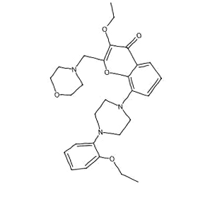 CCOc1ccccc1N1CCN(c2cccc3c(=O)c(OCC)c(CN4CCOCC4)oc23)CC1